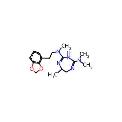 CC1CN=C(N(C)C)NC(N(C)CCc2cccc3c2OCO3)=N1